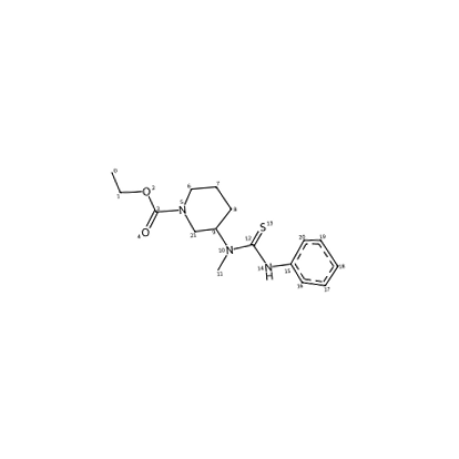 CCOC(=O)N1CCCC(N(C)C(=S)Nc2ccccc2)C1